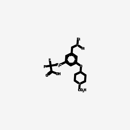 CCN(CC)Cc1cc(OC2CCN(C(=O)O)CC2)cc(C(F)(F)F)c1.O=C(O)C(F)(F)F